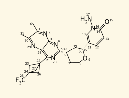 Cc1nc2nc([C@H]3CCO[C@@H](c4ccc(=O)n(N)c4)C3)nc(C34CC(C(F)(F)F)(C3)C4)c2nc1C